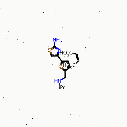 CC(C)NCc1ccc(-c2csc(N)n2)s1.O=C(O)/C=C\C(=O)O